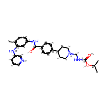 Cc1ccc(NC(=O)c2ccc(C3CCN(CNC(=O)OC(C)C)CC3)cc2)cc1Nc1cccnc1